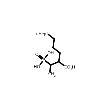 CCCCCCCCCCC(C(=O)O)C(C)P(=O)(O)O